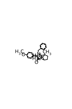 COc1ccc(-n2c(=O)c3c(n2Cc2ccccc2)C2(C)CCC3C2(C)C)cc1